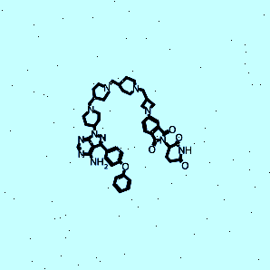 Nc1ncnc2c1c(-c1ccc(Oc3ccccc3)cc1)nn2C1CCN(CC2CCN(CC3CCN(CC4CN(c5ccc6c(c5)C(=O)N(C5CCC(=O)NC5=O)C6=O)C4)CC3)CC2)CC1